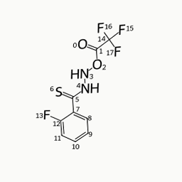 O=C(ONNC(=S)c1ccccc1F)C(F)(F)F